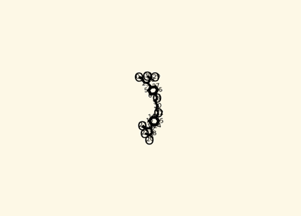 O=C1CC(c2ccc(OCCCOc3ccc(C4CC(=O)OC4=O)cc3)cc2)C(=O)O1